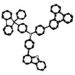 c1ccc(C2(c3ccc(N(c4ccc(-c5ccc6c7ccccc7c7ccccc7c6c5)cc4)c4ccc(-c5cccc6c5oc5ccccc56)cc4)cc3)c3ccccc3-c3ccccc32)cc1